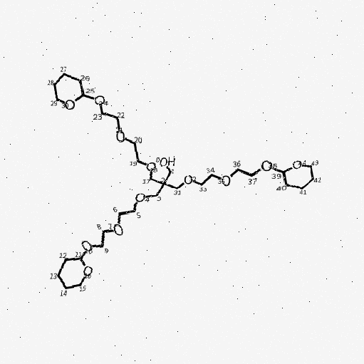 OCC(COCCOCCOC1CCCCO1)(COCCOCCOC1CCCCO1)COCCOCCOC1CCCCO1